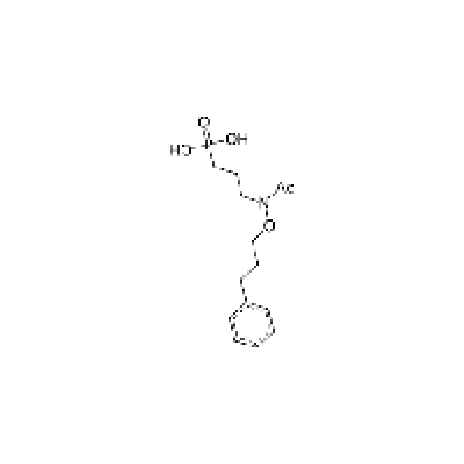 CC(=O)N(CCCP(=O)(O)O)OCCCc1ccccc1